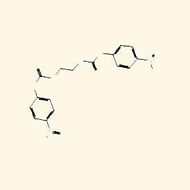 O=C(Oc1ccc([N+](=O)[O-])cc1)SCCSC(=O)Oc1ccc([N+](=O)[O-])cc1